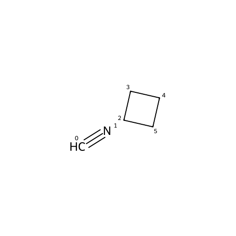 C#N.C1CCC1